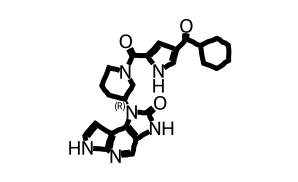 O=C(c1c[nH]c(C(=O)N2CCC[C@@H](n3c(=O)[nH]c4cnc5[nH]ccc5c43)C2)c1)C1CCCCC1